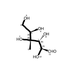 C[C@@](O)([C@H](O)CO)[C@H](O)[C@H](O)C=O